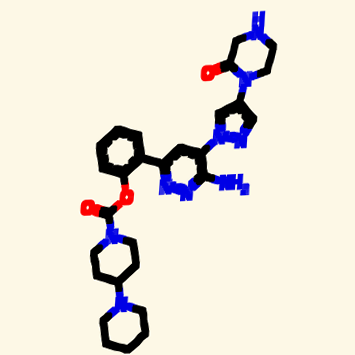 Nc1nnc(-c2ccccc2OC(=O)N2CCC(N3CCCCC3)CC2)cc1-n1cc(N2CCNCC2=O)cn1